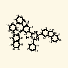 c1ccc(C2N=C(c3ccc4c(c3)-c3ccccc3C4)N=C(c3cc(-n4c5ccccc5c5cc6ccccc6cc54)c4c(c3)oc3ccccc34)N2)cc1